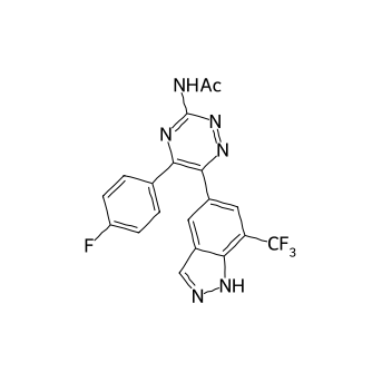 CC(=O)Nc1nnc(-c2cc(C(F)(F)F)c3[nH]ncc3c2)c(-c2ccc(F)cc2)n1